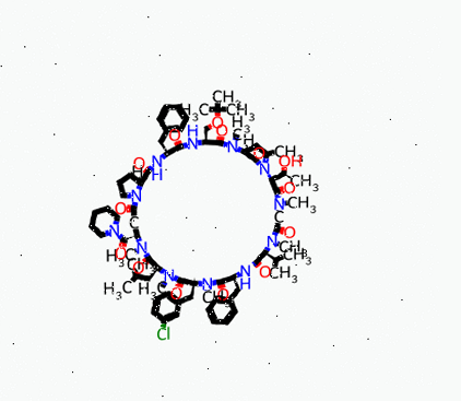 CC(C)C[C@H]1C(=O)N(C)[C@H](C(=O)N2CCCCC2)CC(=O)N2CCC[C@H]2C(=O)N[C@@H](Cc2ccccc2)C(=O)N[C@@H](COC(C)(C)C)C(=O)N(C)[C@H]2CC(C)N(C2=O)[C@@H]([C@@H](C)O)C(=O)N(C)CC(=O)N(C)[C@@H](C(C)C)C(=O)N[C@@H](Cc2ccccc2)C(=O)N(C)[C@@H](Cc2cccc(Cl)c2)C(=O)N1C